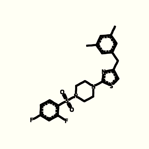 Cc1cc(C)cc(Cc2csc(N3CCN(S(=O)(=O)c4ccc(F)cc4F)CC3)n2)c1